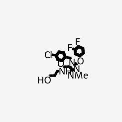 CNc1nc(Oc2ccc(F)c(F)c2)n(Cc2ccc(Cl)cc2)c1C(=O)NCCCO